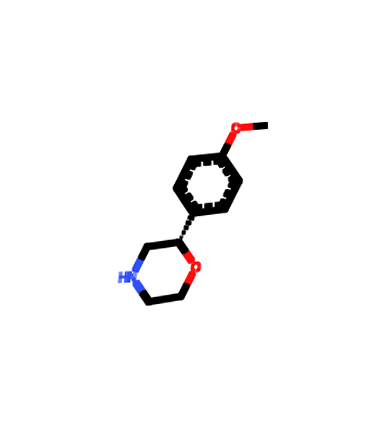 COc1ccc([C@H]2CNCCO2)cc1